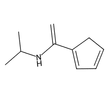 C=C(NC(C)C)C1=CC=CC1